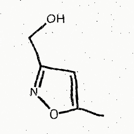 Cc1[c]c(CO)no1